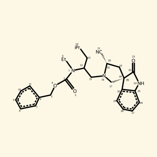 CCN(C(=O)OCc1ccccc1)C(CC(C)C)CN1C[C@]2(C[C@H]1C#N)C(=O)Nc1ccccc12